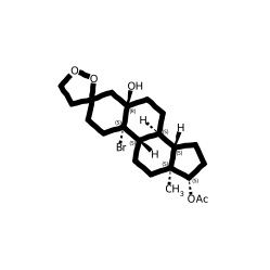 CC(=O)O[C@H]1CC[C@H]2[C@@H]3CC[C@@]4(O)CC5(CCOO5)CC[C@]4(Br)[C@H]3CC[C@]12C